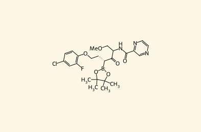 COCC(NC(=O)c1cnccn1)C(=O)[C@@H](CCOc1ccc(Cl)cc1F)B1OC(C)(C)C(C)(C)O1